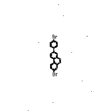 Brc1ccc(-c2ccc3c(ccc4cc(Br)ccc43)c2)cc1